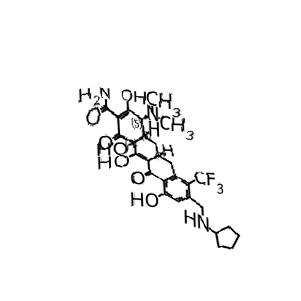 CN(C)[C@@H]1C(O)=C(C(N)=O)C(=O)[C@@]2(O)C(O)=C3C(=O)c4c(O)cc(CNC5CCCC5)c(C(F)(F)F)c4C[C@H]3C[C@@H]12